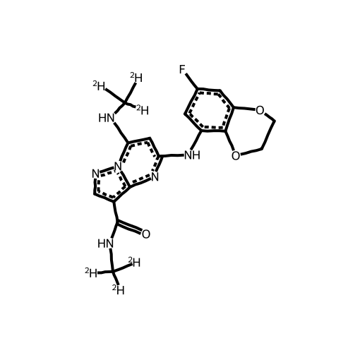 [2H]C([2H])([2H])NC(=O)c1cnn2c(NC([2H])([2H])[2H])cc(Nc3cc(F)cc4c3OCCO4)nc12